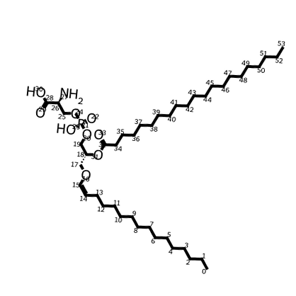 CCCCCCCCCCCCCC/C=C\OC[C@H](COP(=O)(O)OC[C@H](N)C(=O)O)OC(=O)CCCCCCCCCCCCCCCCCCCC